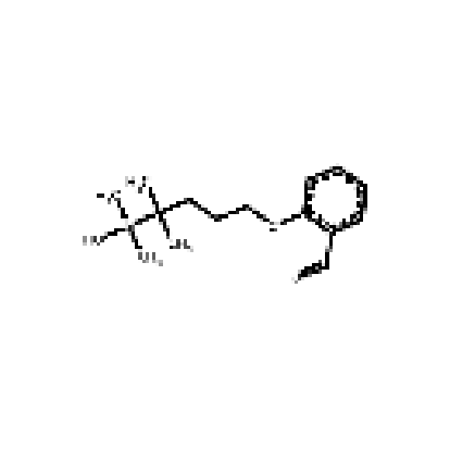 CC(C)(CCCOc1ccccc1C=O)[Si](C)(C)O